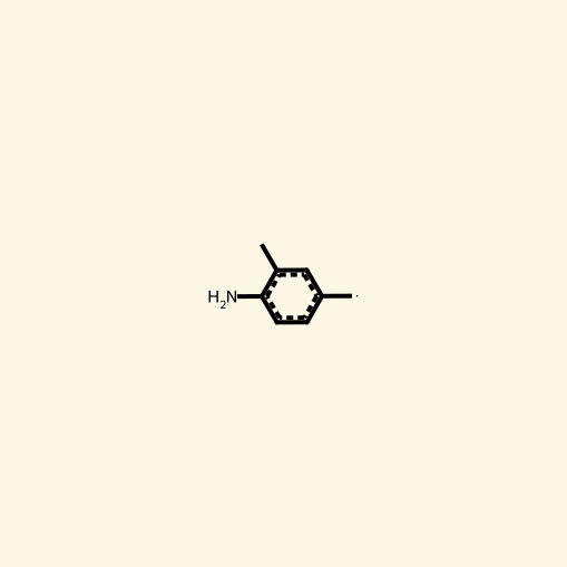 [CH2]c1ccc(N)c(C)c1